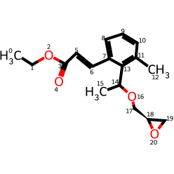 CCOC(=O)/C=C/c1cccc(C)c1C(C)OC[C@H]1CO1